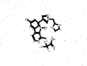 CCn1c2c(-c3cnn(CC4OCCO4)c3)cc(Cl)cc2c2ccnc(C)c21.O=C(O)C(F)(F)F